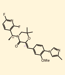 COc1cc(/C=C2\OC(C)(C)CN([C@@H](C)c3ccc(F)nc3F)C2=O)ccc1-n1cnc(C)c1